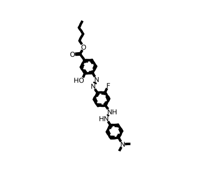 CCCCOC(=O)c1ccc(/N=N/c2ccc(NNc3ccc(N(C)C)cc3)cc2F)c(O)c1